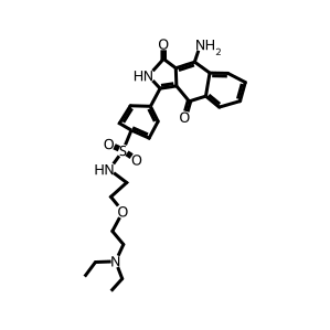 CCN(CC)CCOCCNS(=O)(=O)c1ccc(C2=C3C(=O)c4ccccc4C(N)=C3C(=O)N2)cc1